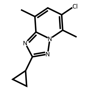 Cc1cc(Cl)c(C)n2nc(C3CC3)nc12